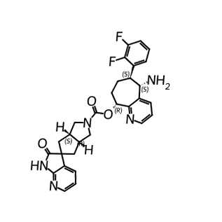 N[C@@H]1c2cccnc2[C@H](OC(=O)N2C[C@@H]3CC4(C[C@@H]3C2)C(=O)Nc2ncccc24)CC[C@H]1c1cccc(F)c1F